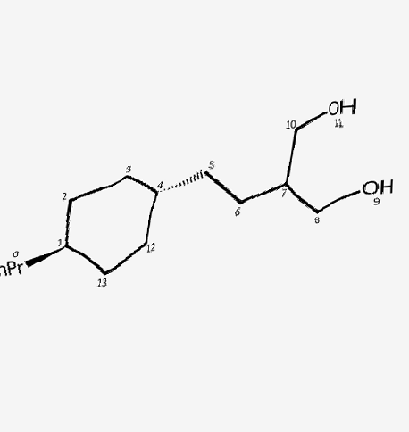 CCC[C@H]1CC[C@H](CCC(CO)CO)CC1